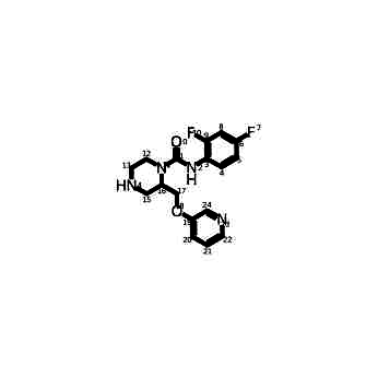 O=C(Nc1ccc(F)cc1F)N1CCNCC1COc1cccnc1